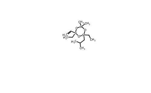 C=C[Si]1(CC)O[Si](C)(C)O[Si](CC)(CC(C)C)O1